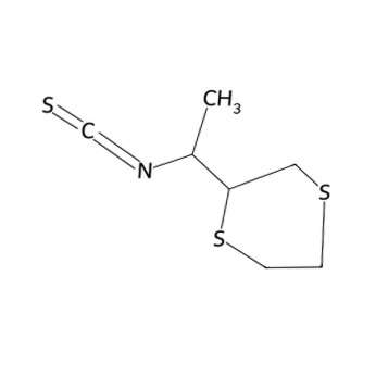 CC(N=C=S)C1CSCCS1